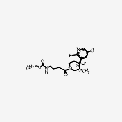 C[C@H]1CN(C(=O)CCCNC(=O)OC(C)(C)C)CC[C@]1(F)c1cc(Cl)cnc1F